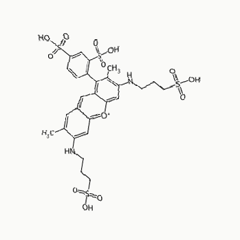 Cc1cc2cc3c(-c4ccc(S(=O)(=O)O)cc4S(=O)(=O)O)c(C)c(NCCCS(=O)(=O)O)cc3[o+]c2cc1NCCCS(=O)(=O)O